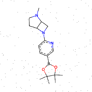 CN1CCC2C1CN2c1ccc(B2OC(C)(C)C(C)(C)O2)cn1